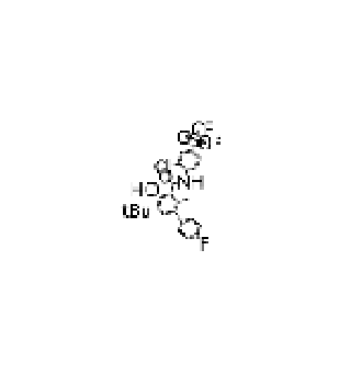 Cc1c(-c2ccc(F)cc2)cc(C(C)(C)C)c(O)c1C(=O)Nc1ccc(S(=O)(=O)C(F)(F)F)cc1Cl